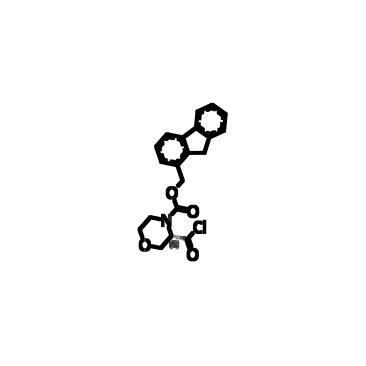 O=C(Cl)[C@@H]1COCCN1C(=O)OCc1cccc2c1Cc1ccccc1-2